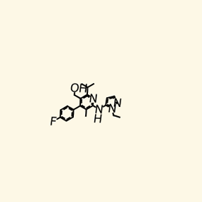 CCn1nccc1Nc1nc(C(C)C)c(CO)c(-c2ccc(F)cc2)c1C